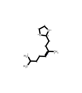 C/C(=C/CCC(C)C)CCC1OCCO1